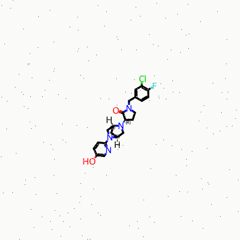 O=C1[C@H](N2C[C@@H]3C[C@H]2CN3c2ccc(O)cn2)CCN1Cc1ccc(F)c(Cl)c1